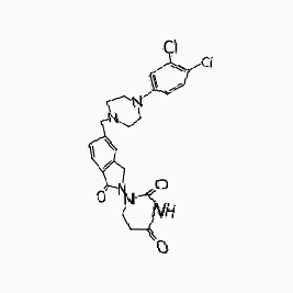 O=C1CCN(N2Cc3cc(CN4CCN(c5ccc(Cl)c(Cl)c5)CC4)ccc3C2=O)C(=O)N1